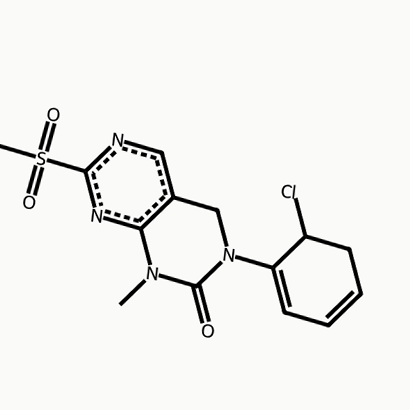 CN1C(=O)N(C2=CC=CCC2Cl)Cc2cnc(S(C)(=O)=O)nc21